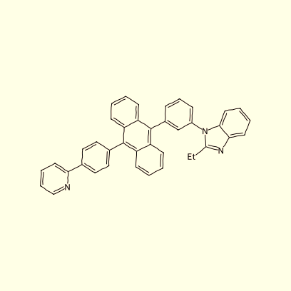 CCc1nc2ccccc2n1-c1cccc(-c2c3ccccc3c(-c3ccc(-c4ccccn4)cc3)c3ccccc23)c1